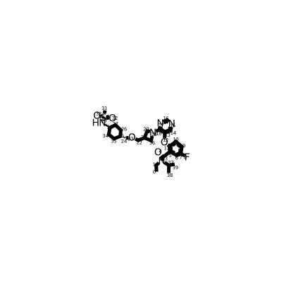 CCN(C(=O)c1cc(F)ccc1Oc1cncnc1N1CC(COC[C@H]2CC[C@H](NS(C)(=O)=O)CC2)C1)C(C)C